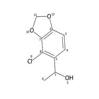 CC(O)c1ccc2c(c1Cl)OCO2